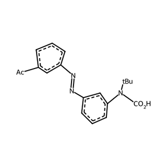 CC(=O)c1cccc(N=Nc2cccc(N(C(=O)O)C(C)(C)C)c2)c1